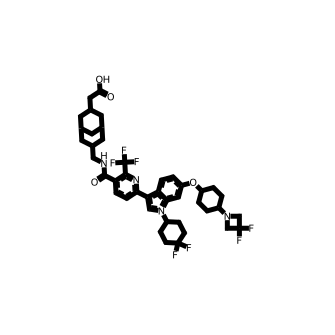 O=C(O)CC1CC2CC(CNC(=O)c3ccc(-c4cn(C5CCC(F)(F)CC5)c5cc(OC6CCC(N7CC(F)(F)C7)CC6)ccc45)nc3C(F)(F)F)CC(C1)C2